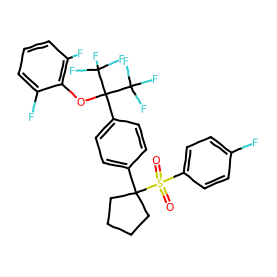 O=S(=O)(c1ccc(F)cc1)C1(c2ccc(C(Oc3c(F)cccc3F)(C(F)(F)F)C(F)(F)F)cc2)CCCC1